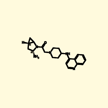 N[C@@H]1C[C@@H]2CC2N1C(=O)CN1CCC(Nc2ccnc3ccccc23)CC1